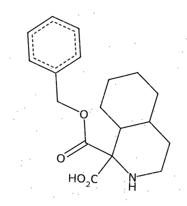 O=C(O)C1(C(=O)OCc2ccccc2)NCCC2CCCCC21